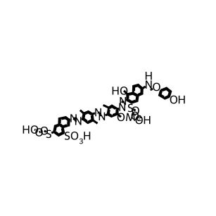 COc1cc(N=Nc2cc(C)c(N=Nc3ccc4cc(SOOO)cc(S(=O)(=O)O)c4c3)cc2C)c(C)cc1N=Nc1c(SOOO)cc2cc(NCOc3ccc(O)cc3)ccc2c1O